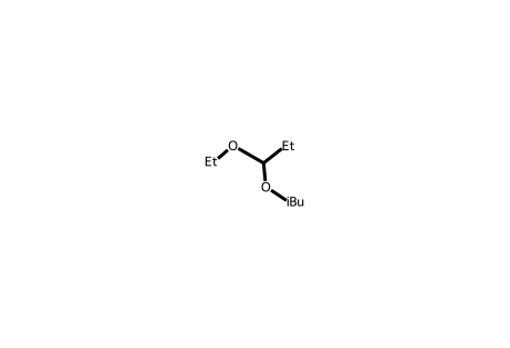 CCOC(CC)OC(C)CC